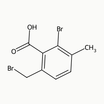 Cc1ccc(CBr)c(C(=O)O)c1Br